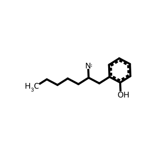 CCCCCC([N])Cc1ccccc1O